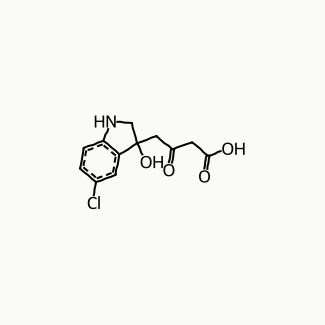 O=C(O)CC(=O)CC1(O)CNc2ccc(Cl)cc21